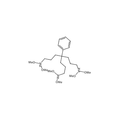 CO[SiH](CCCC(CCC[SiH](OC)OC)(CCC[SiH](OC)OC)c1ccccc1)OC